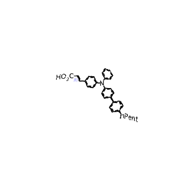 CCCCCc1ccc(-c2ccc(N(c3ccccc3)c3ccc(/C=C/C(=O)O)cc3)cc2)cc1